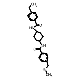 CBCc1ccc(C(=O)NC2CCC(NC(=O)c3ccc(CC)cc3)CC2)cc1